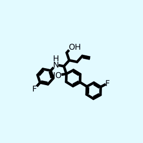 C=CCC(CO)C(Nc1ccc(F)cc1)C1(O)C=CC(c2cccc(F)c2)=CC1